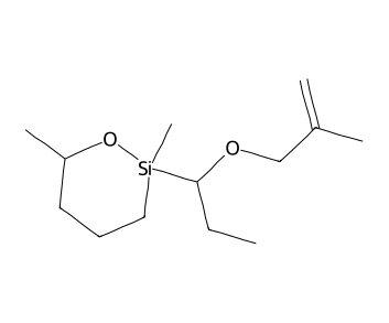 C=C(C)COC(CC)[Si]1(C)CCCC(C)O1